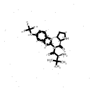 CC(C)(C)[C@H](N)C(=O)N(C(=O)[C@H]1CCCN1)c1nc2ccc(OC(F)(F)F)cc2s1